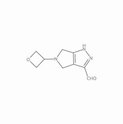 O=Cc1n[nH]c2c1CN(C1COC1)C2